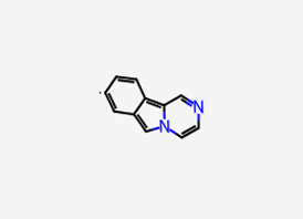 [c]1ccc2c(c1)cn1ccncc21